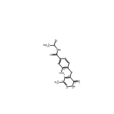 CCC(NC(=O)c1ccc(Cc2cc(C)n[nH]c2=O)c(C)c1)C(=O)O